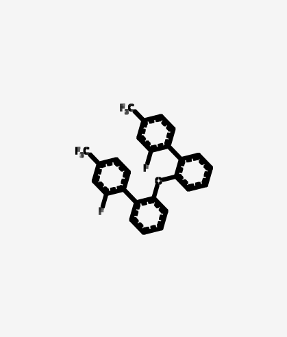 Fc1cc(C(F)(F)F)ccc1-c1ccccc1Oc1ccccc1-c1ccc(C(F)(F)F)cc1F